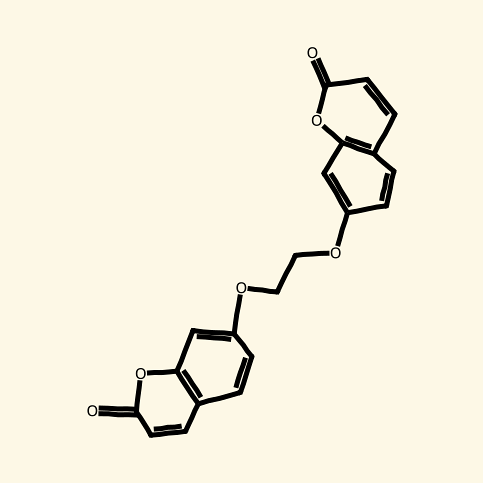 O=c1ccc2ccc(OCCOc3ccc4ccc(=O)oc4c3)cc2o1